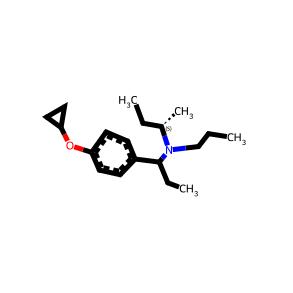 CCCN(C(CC)c1ccc(OC2CC2)cc1)[C@@H](C)CC